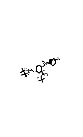 COc1ccc(N(C)C[C@@H]2CC[C@@H](CCB3OC(C)(C)C(C)(C)O3)C[C@]2(C)C(=O)NC(C)(C)C)cc1